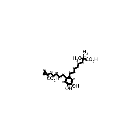 CC(C)(CCCCCCc1cc(O)c(O)cc1CCCCCC1(C(=O)O)CC1)C(=O)O